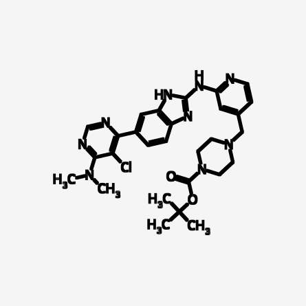 CN(C)c1ncnc(-c2ccc3nc(Nc4cc(CN5CCN(C(=O)OC(C)(C)C)CC5)ccn4)[nH]c3c2)c1Cl